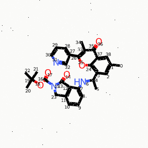 Cc1cc(C(C)Nc2cccc3c2C(=O)N(C(=O)OC(C)(C)C)C3)c2oc(-c3cccnc3)c(C)c(=O)c2c1